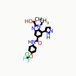 CCn1c([C@@H](C)O)nc2cc(C(=O)Nc3ccc(OC(F)(F)Cl)cc3)cc(-c3ccn[nH]3)c21